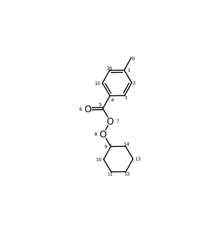 Cc1ccc(C(=O)OO[C]2CCCCC2)cc1